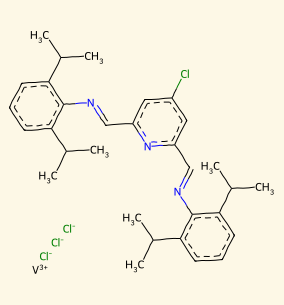 CC(C)c1cccc(C(C)C)c1N=Cc1cc(Cl)cc(C=Nc2c(C(C)C)cccc2C(C)C)n1.[Cl-].[Cl-].[Cl-].[V+3]